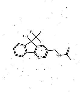 CC(=O)NCc1ccc2c(c1)C(O)(C(F)(F)F)c1ccccc1-2